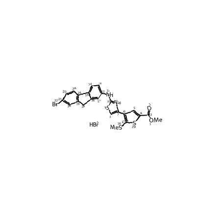 Br.COC(=O)c1cc(-c2csc(Nc3ccc4c(c3)Cc3cc(Br)ccc3-4)n2)c(SC)s1